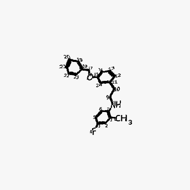 Cc1cc(F)ccc1NCCc1cccc(OCc2ccccc2)c1